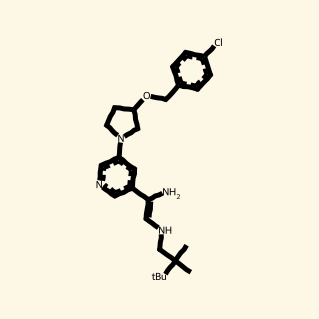 CC(C)(C)C(C)(C)CN/C=C(\N)c1cncc(N2CCC(OCc3ccc(Cl)cc3)C2)c1